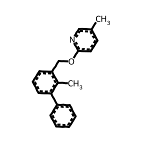 Cc1ccc(OCc2cccc(-c3ccccc3)c2C)nc1